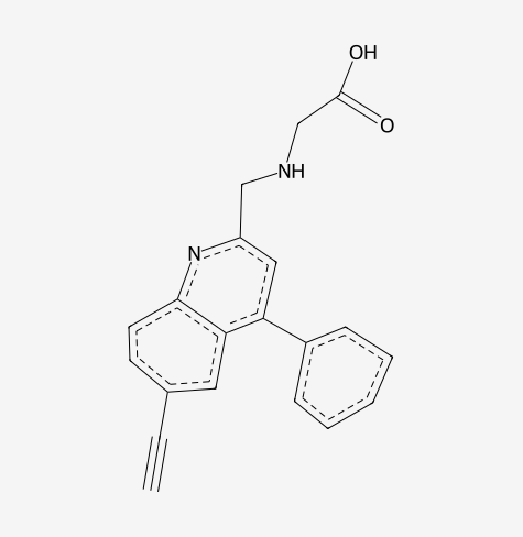 C#Cc1ccc2nc(CNCC(=O)O)cc(-c3ccccc3)c2c1